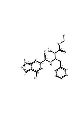 CCOC(=O)[C@H](O)[C@@H](Cc1ccccc1)NC(=O)c1cc(Cl)c2nn[nH]c2c1